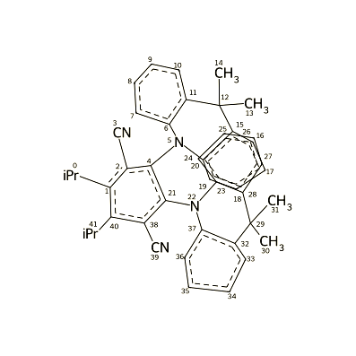 CC(C)c1c(C#N)c(N2c3ccccc3C(C)(C)c3ccccc32)c(N2c3ccccc3C(C)(C)c3ccccc32)c(C#N)c1C(C)C